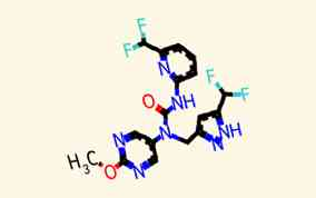 COc1ncc(N(Cc2cc(C(F)F)[nH]n2)C(=O)Nc2cccc(C(F)F)n2)cn1